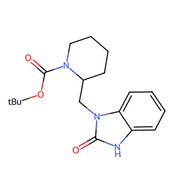 CC(C)(C)OC(=O)N1CCCCC1Cn1c(=O)[nH]c2ccccc21